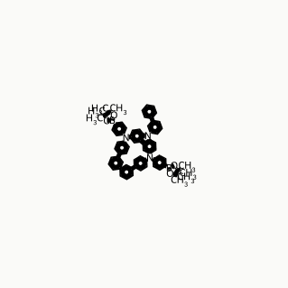 CC1(C)OB(c2ccc(N(c3ccc(-c4ccccc4)cc3)c3ccc4c(c3)c3cc(N(c5ccc(B6OC(C)(C)C(C)(C)O6)cc5)c5ccc(-c6ccccc6)cc5)ccc3n4-c3cccc(-c4ccccc4)c3)cc2)OC1(C)C